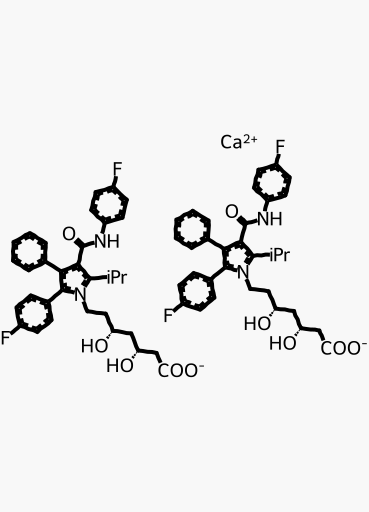 CC(C)c1c(C(=O)Nc2ccc(F)cc2)c(-c2ccccc2)c(-c2ccc(F)cc2)n1CC[C@@H](O)C[C@@H](O)CC(=O)[O-].CC(C)c1c(C(=O)Nc2ccc(F)cc2)c(-c2ccccc2)c(-c2ccc(F)cc2)n1CC[C@@H](O)C[C@@H](O)CC(=O)[O-].[Ca+2]